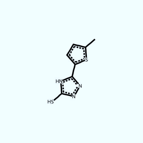 Cc1ccc(-c2nnc(S)[nH]2)s1